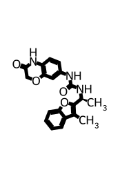 Cc1c([C@H](C)NC(=O)Nc2ccc3c(c2)OCC(=O)N3)oc2ccccc12